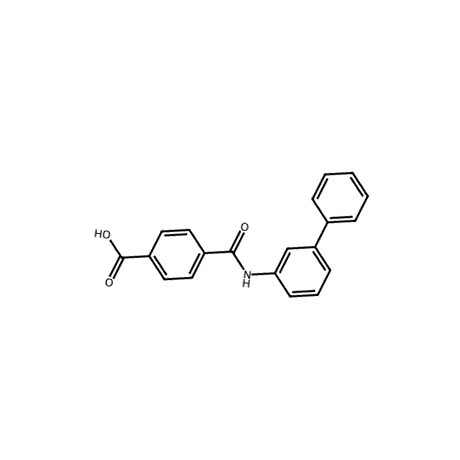 O=C(O)c1ccc(C(=O)Nc2cccc(-c3ccccc3)c2)cc1